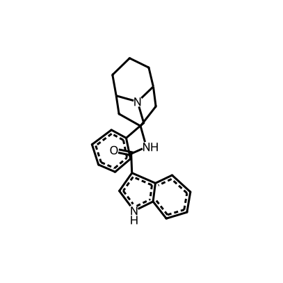 O=C(NC1CC2CCCC(C1)N2Cc1ccccc1)c1c[nH]c2ccccc12